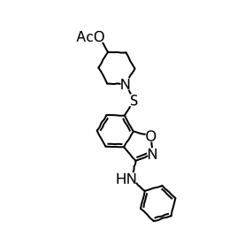 CC(=O)OC1CCN(Sc2cccc3c(Nc4ccccc4)noc23)CC1